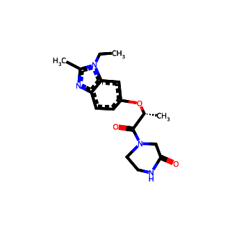 CCn1c(C)nc2ccc(O[C@H](C)C(=O)N3CCNC(=O)C3)cc21